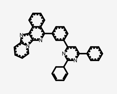 C1=CCC(c2nc(-c3ccccc3)cc(-c3cccc(-c4nc5c(nc6ccccn65)c5ccccc45)c3)n2)C=C1